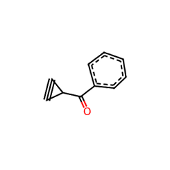 O=C(c1ccccc1)C1C#C1